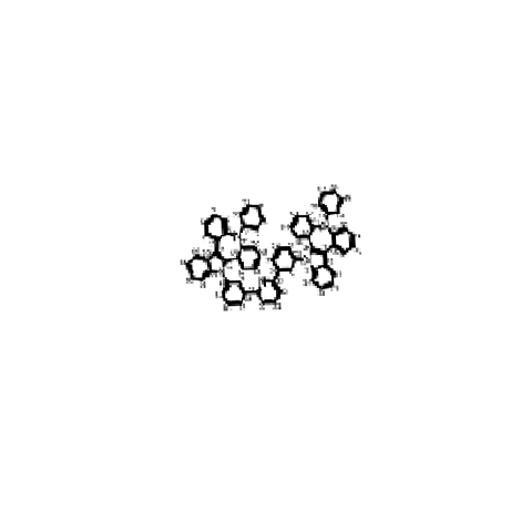 c1ccc(N2c3ccccc3-c3c(n(-c4cccc(-c5cccc(-c6cccc(-n7c8c(c9ccccc97)-c7ccccc7N(c7ccccc7)c7ccccc7-8)c6)n5)c4)c4ccccc34)-c3ccccc32)cc1